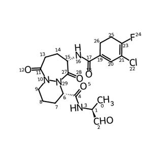 C[C@@H](C=O)NC(=O)[C@@H]1CCCN2C(=O)CC[C@H](NC(=O)C3=CC(Cl)=C(F)CC3)C(=O)N12